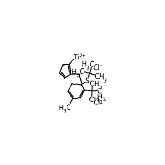 CC1=CCC(CC2=[C]([Ti+2])CC=C2)(SC(C)(C)C)C(C(C)(C)C)=C1.[Cl-].[Cl-]